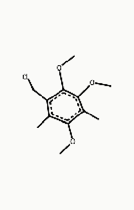 COc1c(C)c(CCl)c(OC)c(OC)c1C